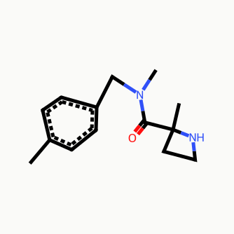 Cc1ccc(CN(C)C(=O)C2(C)CCN2)cc1